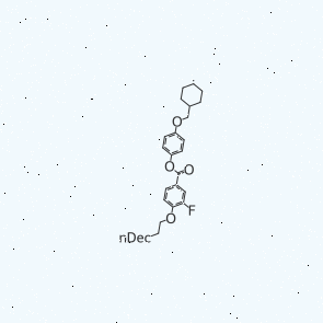 CCCCCCCCCCCCOc1ccc(C(=O)Oc2ccc(OCC3CC[CH]CC3)cc2)cc1F